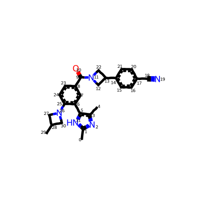 Cc1nc(C)c(-c2cc(C(=O)N3CC(c4ccc(C#N)cc4)C3)ccc2N2CC(C)C2)[nH]1